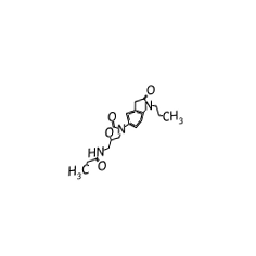 CCCN1C(=O)Cc2cc(N3CC(CNC(=O)CC)OC3=O)ccc21